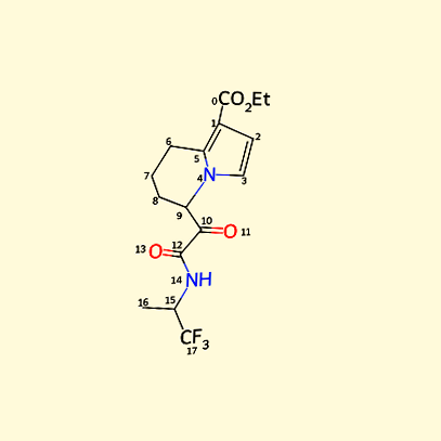 CCOC(=O)c1ccn2c1CCCC2C(=O)C(=O)NC(C)C(F)(F)F